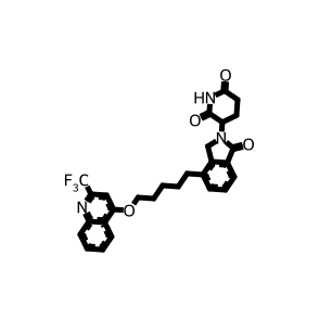 O=C1CCC(N2Cc3c(CCCCCOc4cc(C(F)(F)F)nc5ccccc45)cccc3C2=O)C(=O)N1